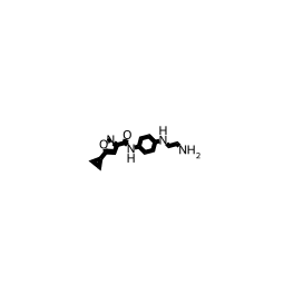 NCCNC1CCC(NC(=O)c2cc(C3CC3)on2)CC1